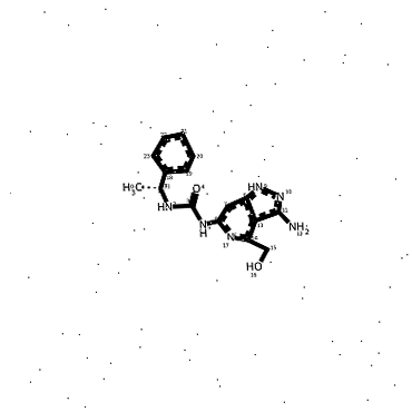 C[C@@H](NC(=O)Nc1cc2[nH]nc(N)c2c(CO)n1)c1ccccc1